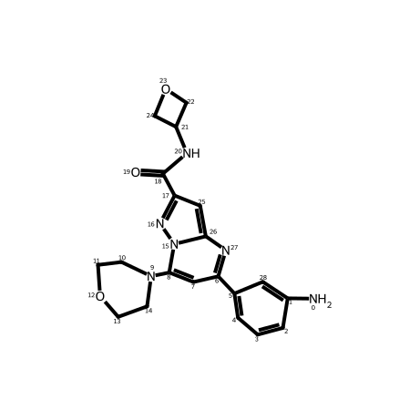 Nc1cccc(-c2cc(N3CCOCC3)n3nc(C(=O)NC4COC4)cc3n2)c1